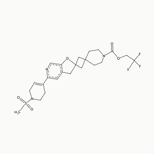 CS(=O)(=O)N1CC=C(c2cc3c(cn2)OC2(C3)CC3(CCN(C(=O)OCC(F)(F)F)CC3)C2)CC1